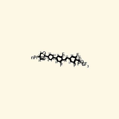 CCCC12COC(C3CCC(c4cc(F)c(/C=C/c5cc(F)c(C(F)(F)OC(F)(F)F)c(F)c5)c(F)c4)CC3)(OC1)O2